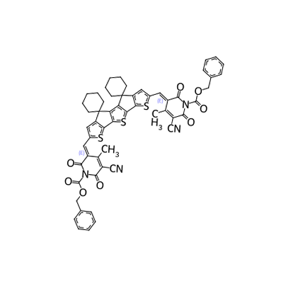 CC1=C(C#N)C(=O)N(C(=O)OCc2ccccc2)C(=O)/C1=C/c1cc2c(s1)-c1sc3c(c1C21CCCCC1)C1(CCCCC1)c1cc(/C=C2/C(=O)N(C(=O)OCc4ccccc4)C(=O)C(C#N)=C2C)sc1-3